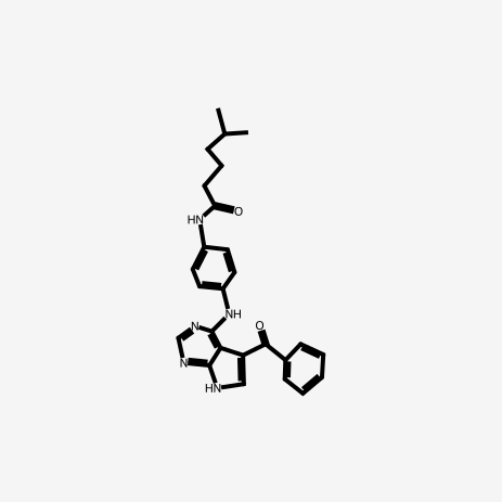 CC(C)CCCC(=O)Nc1ccc(Nc2ncnc3[nH]cc(C(=O)c4ccccc4)c23)cc1